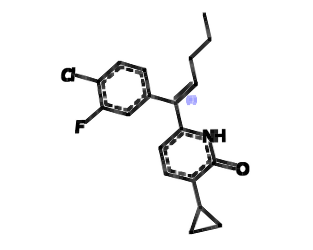 CCC/C=C(\c1ccc(Cl)c(F)c1)c1ccc(C2CC2)c(=O)[nH]1